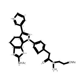 COCCN(C)C(=O)Cc1ccc(-n2nc(-c3cccnc3)c3c2-c2sc(NC(C)=O)nc2CC3)cc1